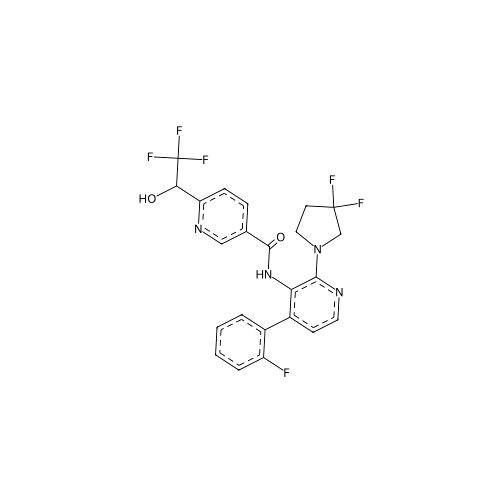 O=C(Nc1c(-c2ccccc2F)ccnc1N1CCC(F)(F)C1)c1ccc(C(O)C(F)(F)F)nc1